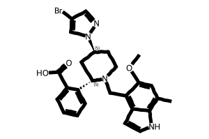 COc1cc(C)c2[nH]ccc2c1CN1CC[C@H](n2cc(Br)cn2)C[C@H]1c1ccccc1C(=O)O